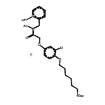 CCCCCCCCCCCCCCCCOc1ccc(OCC(=O)N(Cc2cccc[n+]2CCC)C(C)=O)cc1Cl.[I-]